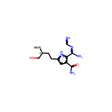 CN[C@H](CO)CCc1cc(C(N)=O)c(/C(N)=N\C=N)[nH]1